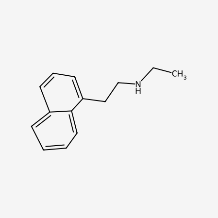 CCNCCc1cccc2ccccc12